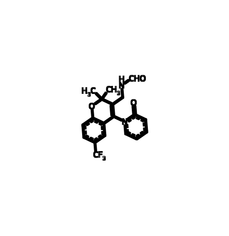 CC1(C)Oc2ccc(C(F)(F)F)cc2C(n2ccccc2=O)=C1CNC=O